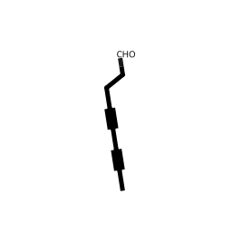 CC#CC#CCCC=O